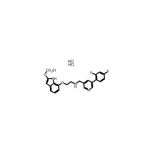 CCOC(=O)Oc1cc2cccc(OCCNCc3cncc(-c4ccc(F)cc4F)c3)c2[nH]1.Cl.Cl